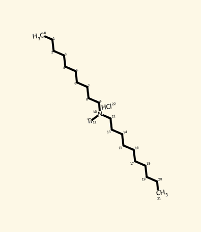 CCCCCCCCCC[N]([Ti])CCCCCCCCCC.Cl